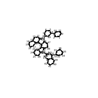 c1ccc(-c2cccc(-n3c4ccc5ccccc5c4c4c5c6ccccc6n(-c6nc(-c7ccccc7)c7ccccc7n6)c5ccc43)c2)cc1